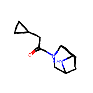 O=C(CC1CC1)N1CC2CC(C1)N2